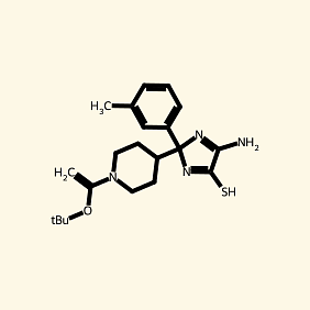 C=C(OC(C)(C)C)N1CCC(C2(c3cccc(C)c3)N=C(N)C(S)=N2)CC1